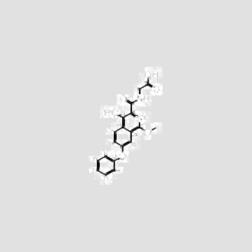 COc1nc(C(=O)NCC(=O)O)c(O)c2ccc(Oc3ccccc3)cc12